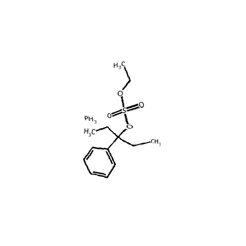 CCOS(=O)(=O)OC(CC)(CC)c1ccccc1.P